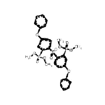 COP(=O)(OC)c1cc(Oc2ccccc2)ccc1S(=O)(=O)c1ccc(Oc2ccccc2)cc1P(=O)(OC)OC